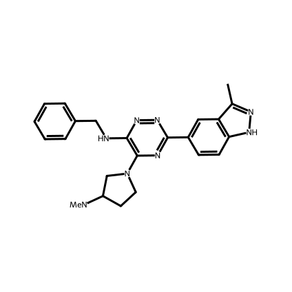 CNC1CCN(c2nc(-c3ccc4[nH]nc(C)c4c3)nnc2NCc2ccccc2)C1